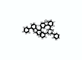 c1ccc(-c2nc(-c3ccccc3)nc(-c3cccc4oc5ccc(-c6cccc7sc8c(-c9ccccc9)cccc8c67)cc5c34)n2)cc1